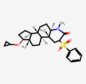 CN1C(=O)C(S(=O)(=O)c2ccccc2)C[C@]2(C)[C@H]3CC[C@]4(C)[C@@H](OC5CC5)CC[C@H]4[C@@H]3CC[C@@H]12